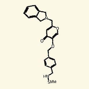 CSNCc1ccc(COc2coc(CN3Cc4ccccc4C3)cc2=O)cc1